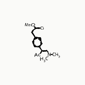 COC(=O)Cc1ccc(C(=CN(C)C)C(C)=O)cc1